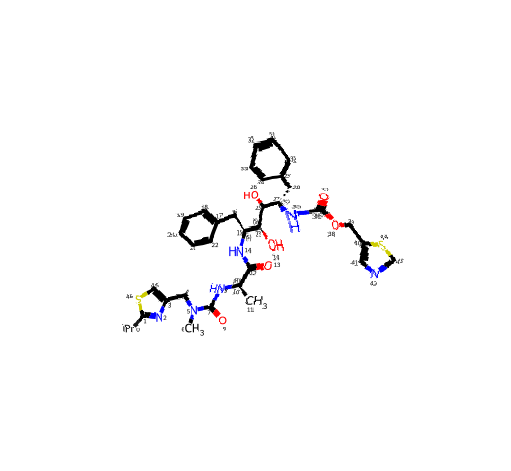 CC(C)c1nc(CN(C)C(=O)N[C@H](C)C(=O)N[C@@H](Cc2ccccc2)[C@H](O)C(O)[C@H](Cc2ccccc2)NC(=O)OCc2cncs2)cs1